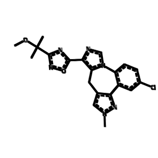 COC(C)(C)c1noc(-c2ncn3c2Cc2cn(C)nc2-c2cc(Cl)ccc2-3)n1